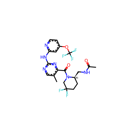 CC(=O)NC[C@H]1CCC(F)(F)CN1C(=O)c1nc(Nc2cc(OC(F)(F)F)ccn2)ncc1C